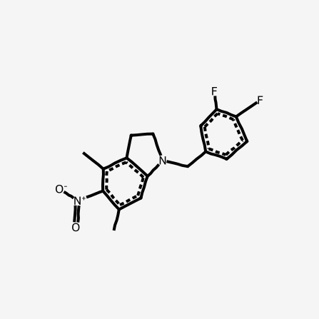 Cc1cc2c(c(C)c1[N+](=O)[O-])CCN2Cc1ccc(F)c(F)c1